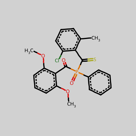 COc1cccc(OC)c1C(=O)P(=O)(C(=S)c1c(C)cccc1Cl)c1ccccc1